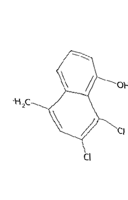 [CH2]c1cc(Cl)c(Cl)c2c(O)cccc12